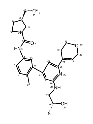 Cc1ccc(NC(=O)N2CC[C@@H](CC(F)(F)F)C2)cc1-c1cc(NC[C@@H](C)O)nc(C2=CCOCC2)c1